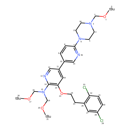 CC(C)(C)OCN1CCN(c2ccc(-c3cnc(N(COC(C)(C)C)COC(C)(C)C)c(OCCc4cc(Cl)ccc4Cl)c3)cn2)CC1